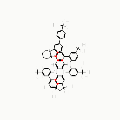 CC(C)(C)c1ccc(-c2ccc3c(c2)C2(C)CCCCC2(C)N3c2cc3c4c(c2)N(c2ccc(C(C)(C)C)cc2-c2ccccc2)c2cc5c(cc2B4c2ccc(C(C)(C)C)cc2N3c2ccc(C(C)(C)C)cc2-c2ccccc2)C(C)(C)CC5(C)C)cc1